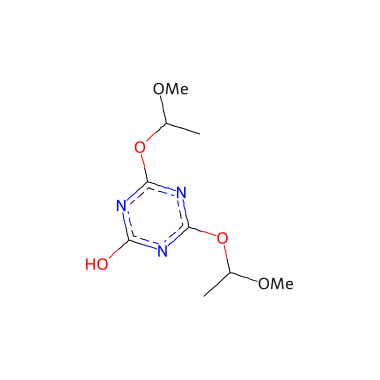 COC(C)Oc1nc(O)nc(OC(C)OC)n1